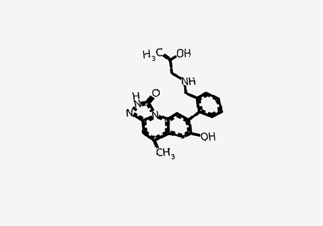 Cc1cc2n[nH]c(=O)n2c2cc(-c3ccccc3CNCC(C)O)c(O)cc12